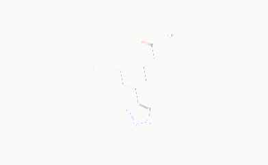 COC(=O)CCCC(CCC(=O)O)c1nnn(C)c1C